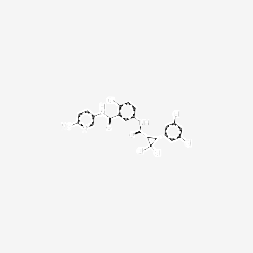 N#Cc1ccc(NC(=O)c2cc(NC(=O)[C@H]3[C@H](c4cc(Cl)cc(Cl)c4)C3(Cl)Cl)ccc2Cl)cn1